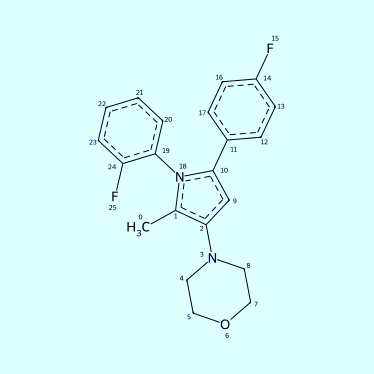 Cc1c(N2CCOCC2)cc(-c2ccc(F)cc2)n1-c1ccccc1F